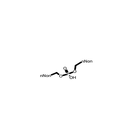 CCCCCCCCCCOP(=O)(O)OCCCCCCCCCC